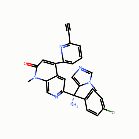 C#Cc1cccc(-c2cc(=O)n(C)c3cnc([C@](N)(c4ccc(Cl)cc4)c4cncn4C)cc23)n1